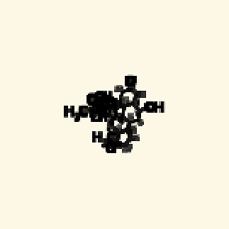 CC12CCC3C(CC(O)C4CC(=O)CCC43CO[Si](C)(C)C(C)(C)C)C1CCC2=O